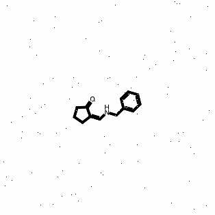 O=C1CCCC1=CNCc1ccccc1